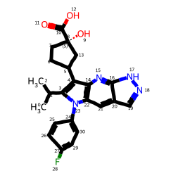 CC(C)c1c(C2CC[C@@](O)(C(=O)O)C2)c2nc3[nH]ncc3cc2n1-c1ccc(F)cc1